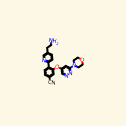 N#Cc1ccc(-c2ccc(CCN)cn2)c(Oc2cnnc(N3CCOCC3)c2)c1